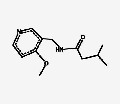 COc1ccncc1CNC(=O)CC(C)C